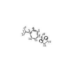 CC(C)c1ccc(C2(C)OCCO2)cc1